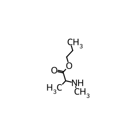 CCCOC(=O)C(C)NC